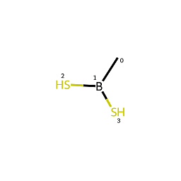 CB(S)S